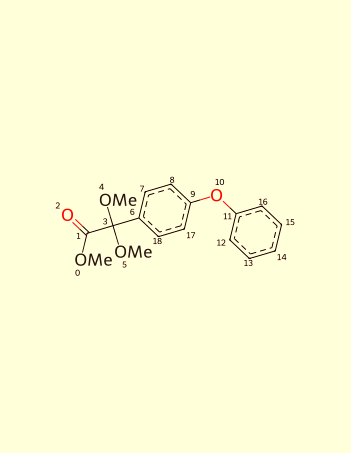 COC(=O)C(OC)(OC)c1ccc(Oc2ccccc2)cc1